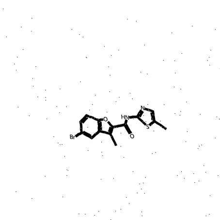 Cc1cnc(NC(=O)c2oc3ccc(Br)cc3c2C)s1